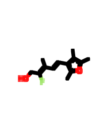 CC(/C=C/c1c(C)oc(C)c1C)=C(/F)CO